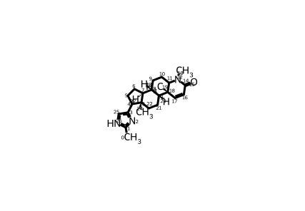 Cc1nc(C2CC[C@H]3[C@@H]4CCC5N(C)C(=O)C=C[C@]5(C)[C@@H]4CC[C@]23C)c[nH]1